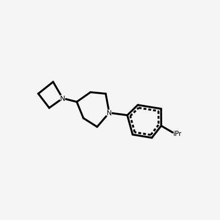 CC(C)c1ccc(N2CCC(N3CCC3)CC2)cc1